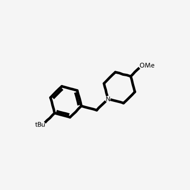 COC1CCN(Cc2cccc(C(C)(C)C)c2)CC1